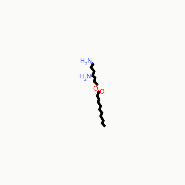 CCCCCCCCCCC(=O)OCCCC(N)CCCN